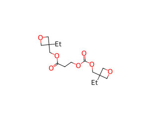 CCC1(COC(=O)CCOC(=O)OCC2(CC)COC2)COC1